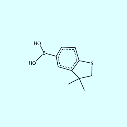 CC1(C)CSc2ccc(B(O)O)cc21